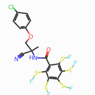 CC(C#N)(COc1ccc(Cl)cc1)NC(=O)c1c(SF)c(SF)c(SF)c(SF)c1SF